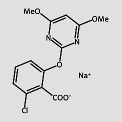 COc1cc(OC)nc(Oc2cccc(Cl)c2C(=O)[O-])n1.[Na+]